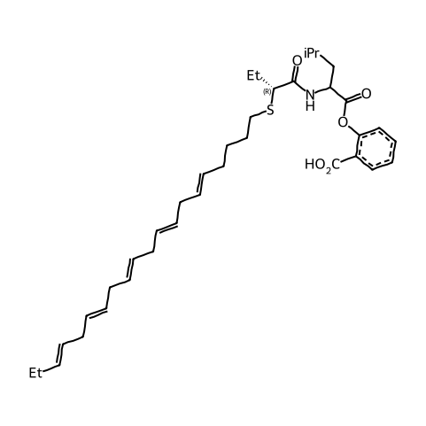 CCC=CCC=CCC=CCC=CCC=CCCCCS[C@H](CC)C(=O)NC(CC(C)C)C(=O)Oc1ccccc1C(=O)O